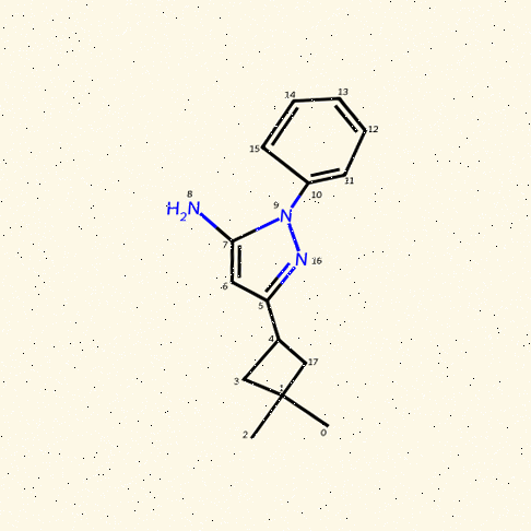 CC1(C)CC(c2cc(N)n(-c3ccccc3)n2)C1